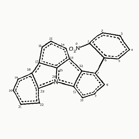 O=[N+]([O-])c1ccccc1-c1cccc2c1c1cccc3c4ccccc4n2c31